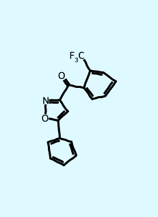 O=C(c1cc(-c2ccccc2)on1)c1ccccc1C(F)(F)F